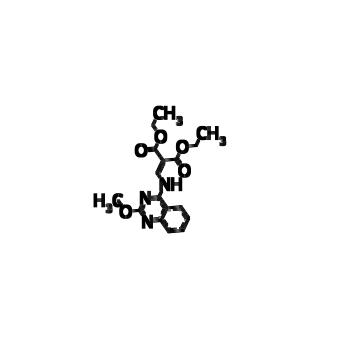 CCOC(=O)C(=CNc1nc(OC)nc2ccccc12)C(=O)OCC